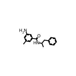 Cc1cc(N)cc(C(=O)NC(C)Cc2ccccc2)c1